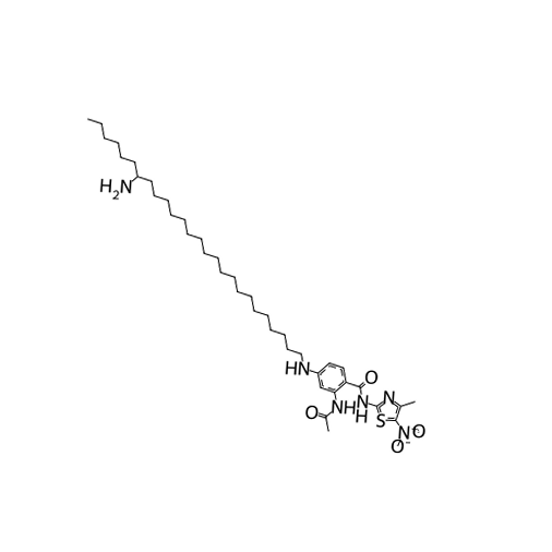 CCCCCCC(N)CCCCCCCCCCCCCCCCCCCNc1ccc(C(=O)Nc2nc(C)c([N+](=O)[O-])s2)c(NC(C)=O)c1